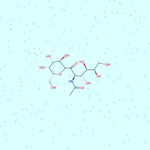 CC(=O)N[C@@H](C(=O)C1O[C@H](CO)[C@H](O)[C@H](O)[C@H]1O)[C@@H](O)[C@@H](O)[C@H](O)CO